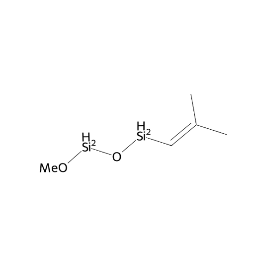 CO[SiH2]O[SiH2]C=C(C)C